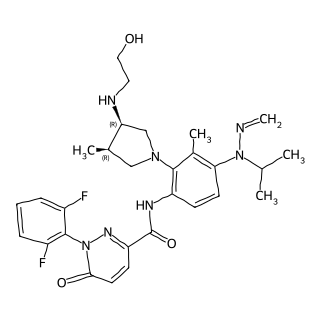 C=NN(c1ccc(NC(=O)c2ccc(=O)n(-c3c(F)cccc3F)n2)c(N2C[C@@H](C)[C@@H](NCCO)C2)c1C)C(C)C